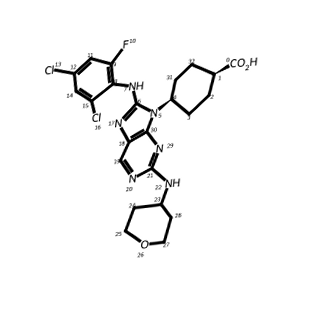 O=C(O)[C@H]1CC[C@@H](n2c(Nc3c(F)cc(Cl)cc3Cl)nc3cnc(NC4CCOCC4)nc32)CC1